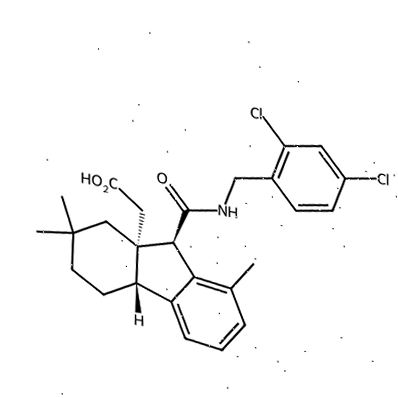 Cc1cccc2c1[C@H](C(=O)NCc1ccc(Cl)cc1Cl)[C@]1(CC(=O)O)CC(C)(C)CC[C@@H]21